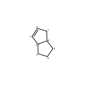 C1=C[C]2CCCC2C1